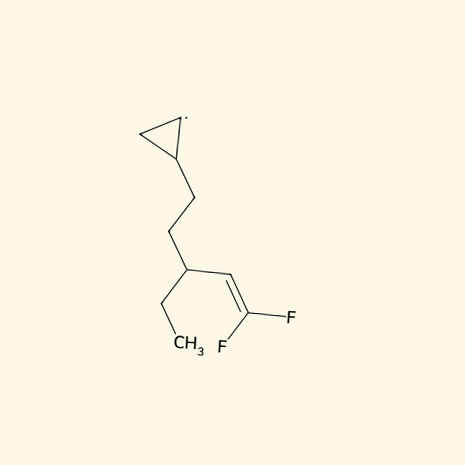 CCC(C=C(F)F)CCC1[CH]C1